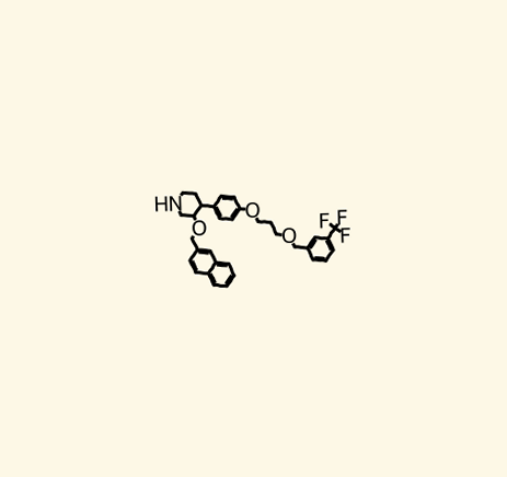 FC(F)(F)c1cccc(COCCCOc2ccc(C3CCNCC3OCc3ccc4ccccc4c3)cc2)c1